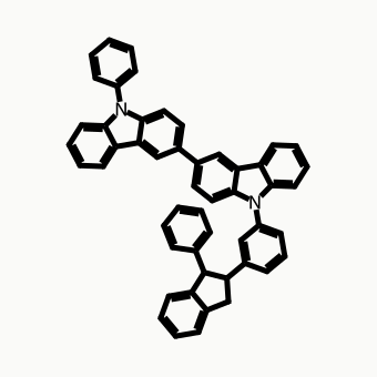 c1ccc(C2c3ccccc3CC2c2cccc(-n3c4ccccc4c4cc(-c5ccc6c(c5)c5ccccc5n6-c5ccccc5)ccc43)c2)cc1